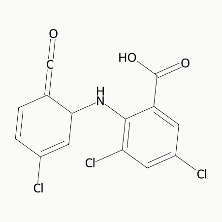 O=C=C1C=CC(Cl)=CC1Nc1c(Cl)cc(Cl)cc1C(=O)O